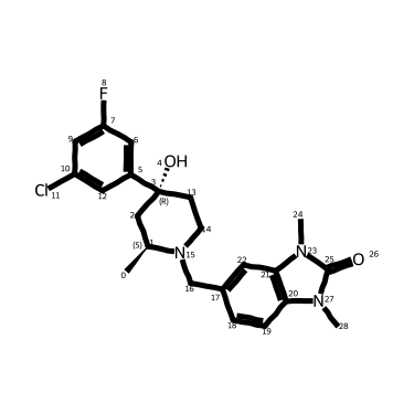 C[C@H]1C[C@@](O)(c2cc(F)cc(Cl)c2)CCN1Cc1ccc2c(c1)n(C)c(=O)n2C